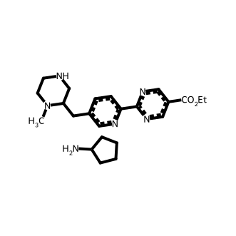 CCOC(=O)c1cnc(-c2ccc(CC3CNCCN3C)cn2)nc1.NC1CCCC1